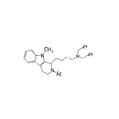 CC(=O)N1CCc2c(n(C)c3ccccc23)C1CCCCN(CC(C)C)CC(C)C